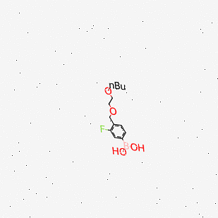 CCCCOCCOCc1ccc(B(O)O)cc1F